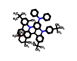 Cc1cc(C(C)(C)C)cc(-c2ccccc2)c1N1c2cc3c(cc2B2c4cc(C(C)(C)C)ccc4N(c4ccc(C(C)(C)C)cc4)c4cc(N(c5ccccc5)c5ccccc5)cc1c42)C(C)(C)CCC3(C)C